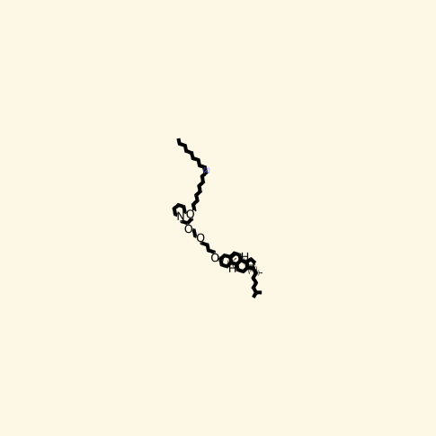 CCCCCCCC/C=C\CCCCCCCCOCC(CN1CCCCC1)OCCOCCCCO[C@H]1CC[C@@]2(C)C(=CC[C@H]3[C@@H]4CC[C@H]([C@H](C)CCCC(C)C)[C@@]4(C)CC[C@@H]32)C1